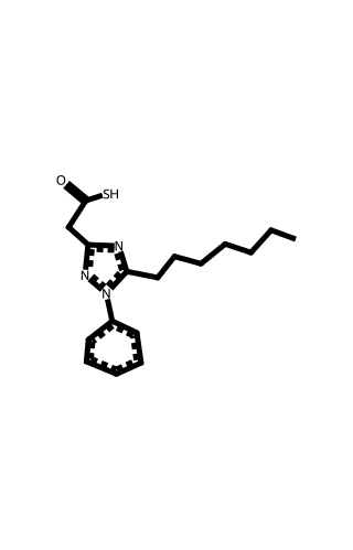 CCCCCCCc1nc(CC(=O)S)nn1-c1ccccc1